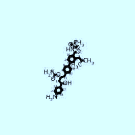 CC(C)Cc1cc(-c2ccc(CC(C[C@@H](O)c3ccc(N)cc3)OC(N)=O)cc2)ccc1C(=O)NS(C)(=O)=O